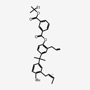 C=CCc1cc(C(C)(C)c2ccc(C(C)CC)c(C/C=C\C)c2)ccc1OC(=O)c1cccc(C(=O)OC(C)(C)CC)c1